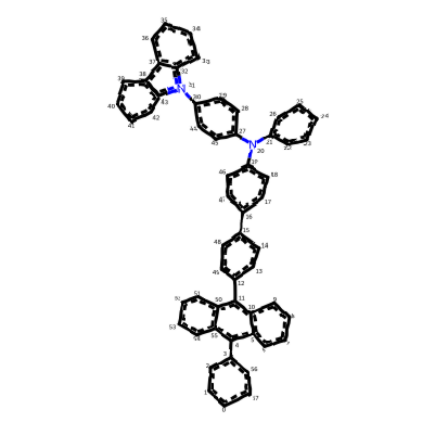 c1ccc(-c2c3ccccc3c(-c3ccc(-c4ccc(N(c5ccccc5)c5ccc(-n6c7ccccc7c7ccccc76)cc5)cc4)cc3)c3ccccc23)cc1